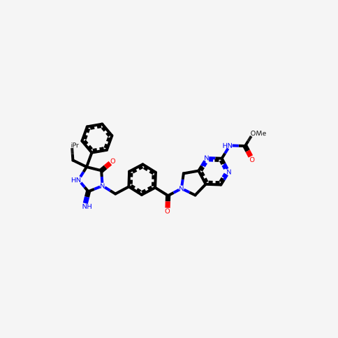 COC(=O)Nc1ncc2c(n1)CN(C(=O)c1cccc(CN3C(=N)NC(CC(C)C)(c4ccccc4)C3=O)c1)C2